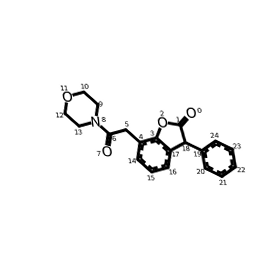 O=C1Oc2c(CC(=O)N3CCOCC3)cccc2C1c1ccccc1